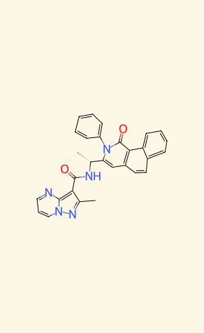 Cc1nn2cccnc2c1C(=O)N[C@H](C)c1cc2ccc3ccccc3c2c(=O)n1-c1ccccc1